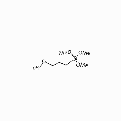 CCCOCCC[Si](OC)(OC)OC